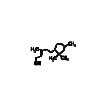 CC(=CCO)CCC1CCC(C)=CC1(C)C